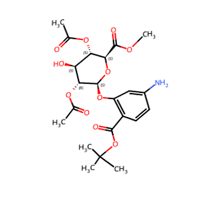 COC(=O)[C@H]1O[C@@H](Oc2cc(N)ccc2C(=O)OC(C)(C)C)[C@H](OC(C)=O)[C@@H](O)[C@@H]1OC(C)=O